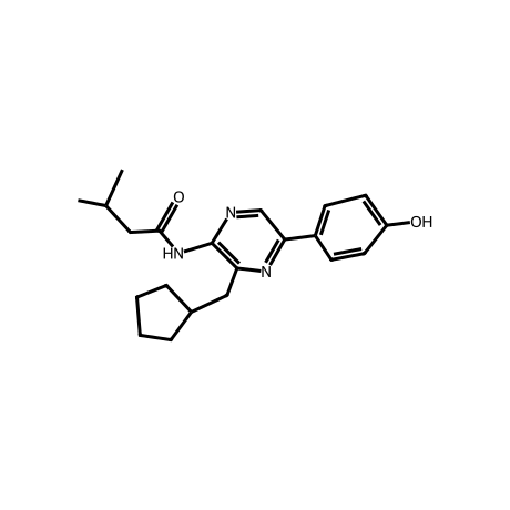 CC(C)CC(=O)Nc1ncc(-c2ccc(O)cc2)nc1CC1CCCC1